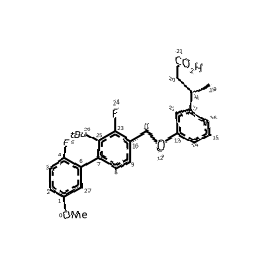 COc1ccc(F)c(-c2ccc(COc3cccc([C@H](C)CC(=O)O)c3)c(F)c2C(C)(C)C)c1